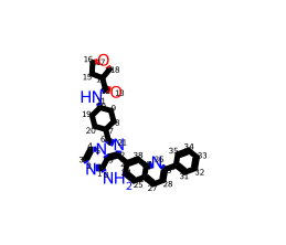 Nc1nccn2c(C3CCC(NC(=O)C4CCOC4)CC3)nc(-c3ccc4ccc(-c5ccccc5)nc4c3)c12